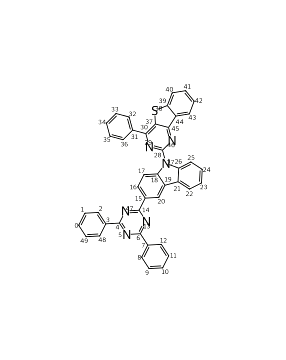 c1ccc(-c2nc(-c3ccccc3)nc(-c3ccc4c(c3)c3ccccc3n4-c3nc(-c4ccccc4)c4sc5ccccc5c4n3)n2)cc1